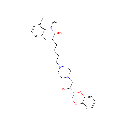 CCCCN(C(=O)CCCCCN1CCN(CC(O)C2COc3ccccc3O2)CC1)c1c(C)cccc1C